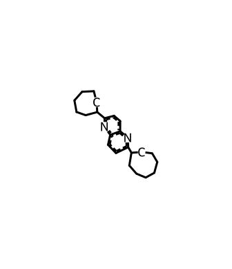 c1cc2nc(C3CCCCCC3)ccc2nc1C1CCCCCCC1